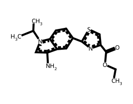 CCOC(=O)c1csc(-c2ccc3c(c2)c(N)cn3C(C)C)n1